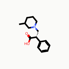 CC1CCCN(C[C@@H](C(=O)O)c2ccccc2)C1